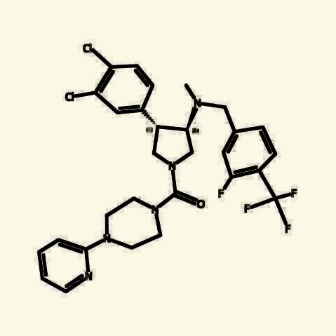 CN(Cc1ccc(C(F)(F)F)c(F)c1)[C@H]1CN(C(=O)N2CCN(c3ccccn3)CC2)C[C@@H]1c1ccc(Cl)c(Cl)c1